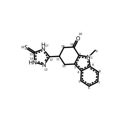 Cn1c2c(c3ccccc31)CC(c1n[nH]c(=S)[nH]1)CC2=O